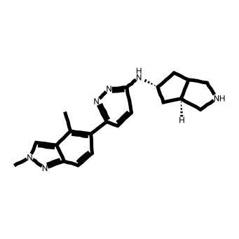 Cc1c(-c2ccc(N[C@@H]3CC4CNC[C@H]4C3)nn2)ccc2nn(C)cc12